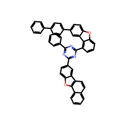 c1ccc(-c2ccc(-c3ccc4oc5cccc(-c6nc(-c7ccccc7)nc(-c7ccc8oc9c%10ccccc%10ccc9c8c7)n6)c5c4c3)cc2)cc1